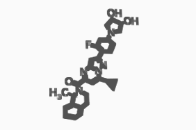 C[C@@H]1c2ccccc2CCN1C(=O)c1cc(C2CC2)n2nc(-c3ccc(N4C[C@@H](O)[C@@H](O)C4)cc3F)cc2n1